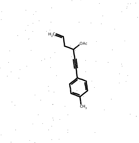 C=CCC(C#Cc1ccc(C)cc1)OC(C)=O